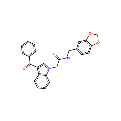 O=C(Cn1cc(C(=O)c2ccccc2)c2ccccc21)NCc1ccc2c(c1)OCO2